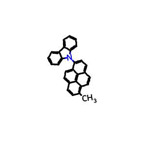 Cc1ccc2ccc3c(-n4c5ccccc5c5ccccc54)ccc4ccc1c2c43